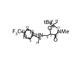 CNC(=O)C(CN[C@@H](C)c1cnc(C(F)(F)F)cn1)O[Si](C)(C)C(C)(C)C